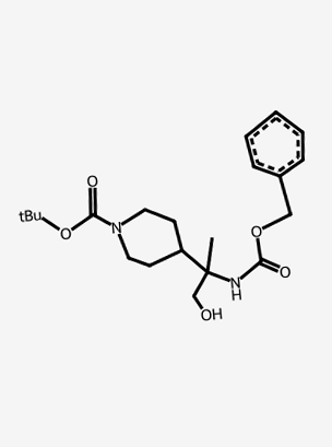 CC(C)(C)OC(=O)N1CCC(C(C)(CO)NC(=O)OCc2ccccc2)CC1